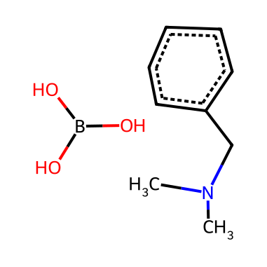 CN(C)Cc1ccccc1.OB(O)O